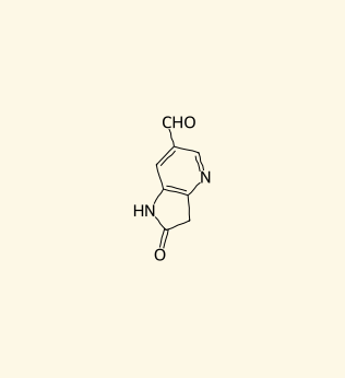 O=Cc1cnc2c(c1)NC(=O)C2